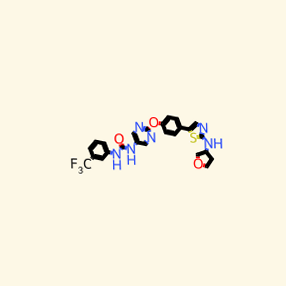 O=C(Nc1cnc(Oc2ccc(-c3cnc(NC4CCOC4)s3)cc2)nc1)Nc1cccc(C(F)(F)F)c1